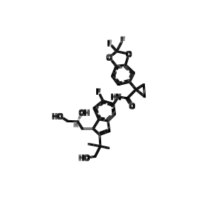 CC(C)(CO)C1=Cc2cc(NC(=O)C3(c4ccc5c(c4)OC(F)(F)O5)CC3)c(F)cc2C1C[C@@H](O)CO